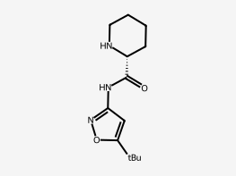 CC(C)(C)c1cc(NC(=O)[C@H]2CCCCN2)no1